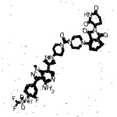 Cn1nc(-c2ccc(NS(=O)(=O)C(F)F)c(F)c2)c2c(N)ncc(-c3cnn(C4CCN(C(=O)N5CCN(c6cccc7c6C(=O)N(C6CCC(=O)NC6=O)C7=O)CC5)CC4)c3)c21